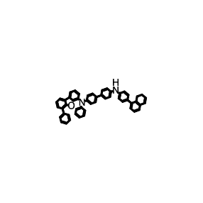 C1=Cc2cccc(-c3ccc(Nc4ccc(-c5ccc(N(c6ccccc6)c6cccc7c6oc6c(-c8ccccc8)cccc67)cc5)cc4)cc3)c2CC1